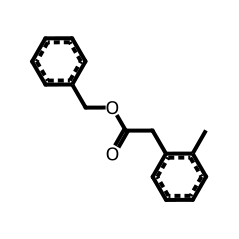 Cc1ccccc1CC(=O)OCc1ccccc1